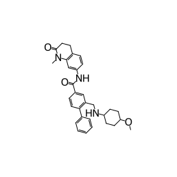 COC1CCC(NCc2cc(C(=O)Nc3ccc4c(c3)N(C)C(=O)CC4)ccc2-c2ccccc2)CC1